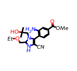 CCOCC1NC(C#N)=C(c2ccc(C(=O)OC)cc2N)N1CC(C)(C)O